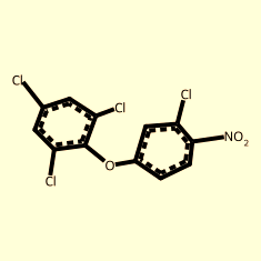 O=[N+]([O-])c1ccc(Oc2c(Cl)cc(Cl)cc2Cl)cc1Cl